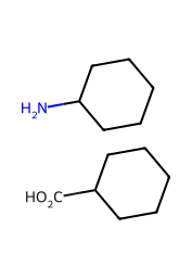 NC1CCCCC1.O=C(O)C1CCCCC1